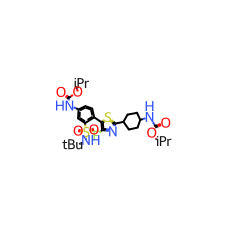 CC(C)OC(=O)Nc1ccc(-c2sc(C3CCC(NC(=O)OC(C)C)CC3)nc2F)c(S(=O)(=O)NC(C)(C)C)c1